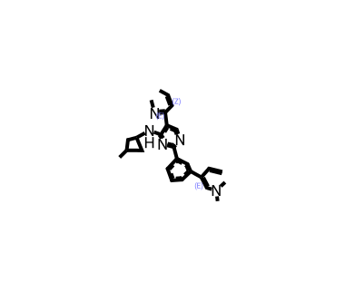 C=C/C(=C\N(C)C)c1cccc(-c2ncc(C(/C=C\C)=N/C)c(NC3CC(C)C3)n2)c1